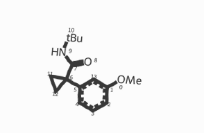 COc1cccc(C2(C(=O)NC(C)(C)C)CC2)c1